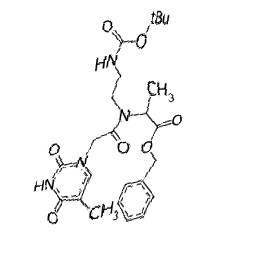 Cc1cn(CC(=O)N(CCNC(=O)OC(C)(C)C)C(C)C(=O)OCc2ccccc2)c(=O)[nH]c1=O